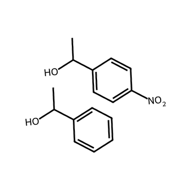 CC(O)c1ccc([N+](=O)[O-])cc1.CC(O)c1ccccc1